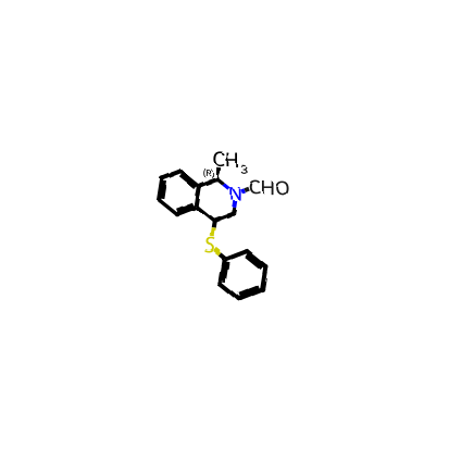 C[C@@H]1c2ccccc2C(Sc2ccccc2)CN1C=O